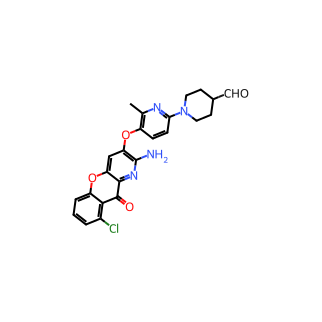 Cc1nc(N2CCC(C=O)CC2)ccc1Oc1cc2oc3cccc(Cl)c3c(=O)c2nc1N